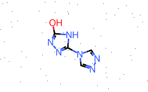 Oc1nnc(-n2cnnc2)[nH]1